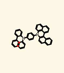 c1ccc(-c2ccccc2N(c2ccccc2)c2ccc(N3c4ccc5ccccc5c4-c4cccc5cccc3c45)cc2)cc1